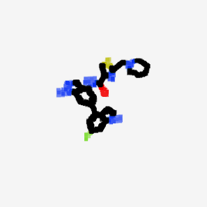 O=C(Nc1cc(-c2cc(F)cc3[nH]ccc23)cc2[nH]ncc12)c1csc(CN2CCCCC2)n1